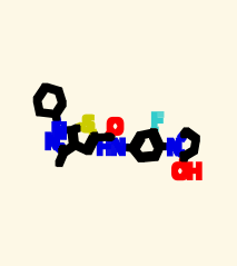 Cc1nn(C2CCCCC2)c2sc(C(=O)Nc3ccc(N4CCCC4O)c(F)c3)cc12